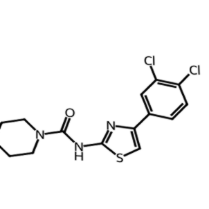 O=C(Nc1nc(-c2ccc(Cl)c(Cl)c2)cs1)N1CCCCC1